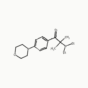 CCN(CC)C(C)(C)C(=O)c1ccc(N2CCOCC2)cc1